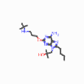 CCCCc1nc2c(N)nc(OCCCNC(C)(C)C)nc2n1CC(C)(C)O